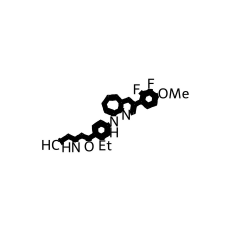 C#CCC(=N)CC(=O)c1ccc(NC2=CCC=CC3CC(c4ccc(OC)c(F)c4F)=CN=C23)cc1CC